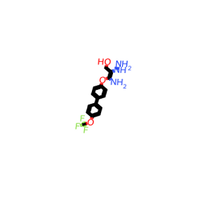 NN/C(CO)=C(\N)Oc1ccc(-c2ccc(OC(F)(F)F)cc2)cc1